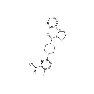 NC(=O)c1nc(N2CCC(C(=O)N3OCC[C@H]3c3ccccn3)CC2)ncc1F